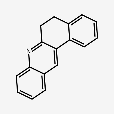 c1ccc2c(c1)CCc1nc3ccccc3cc1-2